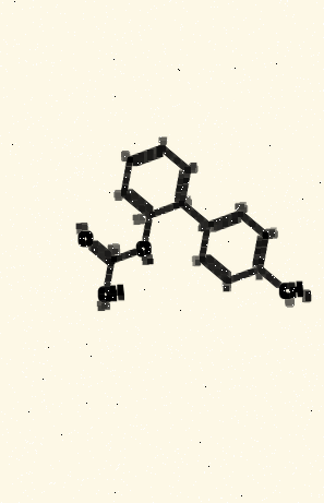 Cc1ccc(-c2ccccc2OC(=O)O)cc1